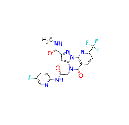 CNC(=O)c1cc2n(CC(=O)Nc3ccc(F)cn3)c(=O)c3ccc(C(F)(F)F)nc3n2n1